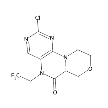 O=C1C2COCCN2c2nc(Cl)ncc2N1CC(F)(F)F